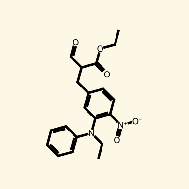 CCOC(=O)C(C=O)Cc1ccc([N+](=O)[O-])c(N(CC)c2ccccc2)c1